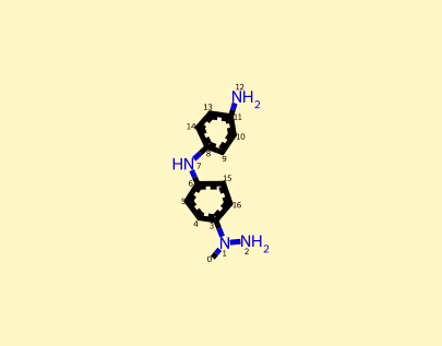 CN(N)c1ccc(Nc2ccc(N)cc2)cc1